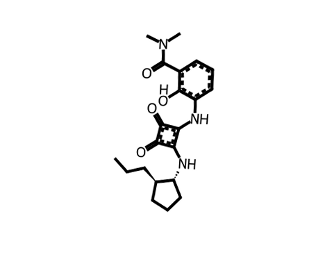 CCC[C@@H]1CCC[C@H]1Nc1c(Nc2cccc(C(=O)N(C)C)c2O)c(=O)c1=O